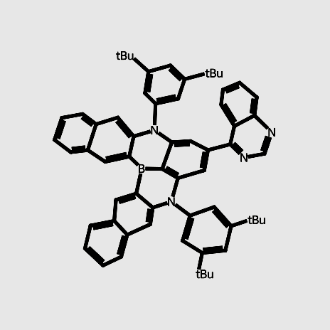 CC(C)(C)c1cc(N2c3cc4ccccc4cc3B3c4cc5ccccc5cc4N(c4cc(C(C)(C)C)cc(C(C)(C)C)c4)c4cc(-c5ncnc6ccccc56)cc2c43)cc(C(C)(C)C)c1